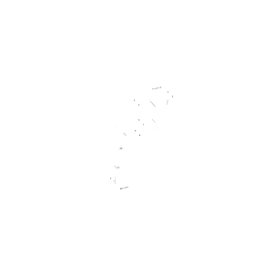 O=C(O)NC12CCC(C(=O)NNC(=O)c3cnc(Cl)cc3NC3CCOCC3)(CC1)CC2